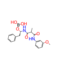 COc1cccc(NC(=O)C(C)C(=O)N[C@@H](Cc2ccccc2)OB(O)O)c1